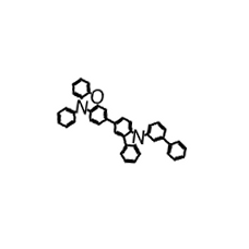 c1ccc(-c2cccc(-n3c4ccccc4c4cc(-c5ccc6c(c5)Oc5ccccc5N6c5ccccc5)ccc43)c2)cc1